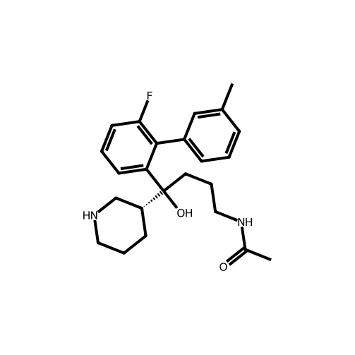 CC(=O)NCCCC(O)(c1cccc(F)c1-c1cccc(C)c1)[C@@H]1CCCNC1